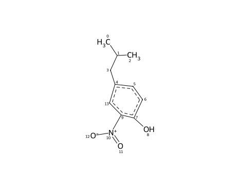 CC(C)Cc1ccc(O)c([N+](=O)[O-])c1